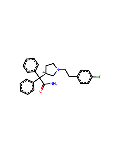 NC(=O)C(c1ccccc1)(c1ccccc1)[C@H]1CCN(CCc2ccc(F)cc2)C1